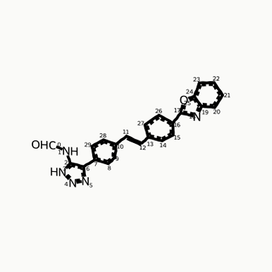 O=CNc1[nH]nnc1-c1ccc(C=Cc2ccc(-c3nc4ccccc4o3)cc2)cc1